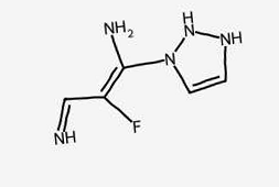 N=C/C(F)=C(\N)N1C=CNN1